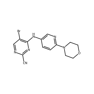 N#Cc1ncc(Br)c(Nc2ccc(N3CCOCC3)nc2)n1